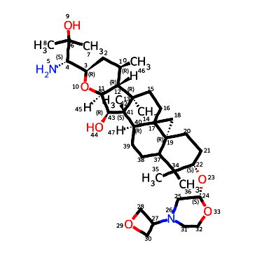 C[C@@H]1C[C@H]([C@H](N)C(C)(C)O)O[C@H]2[C@H]1[C@@]1(C)CCC34C[C@@]35CC[C@H](O[C@H]3CN(C6COC6)CCO3)C(C)(C)C5CC[C@H]4[C@]1(C)[C@H]2O